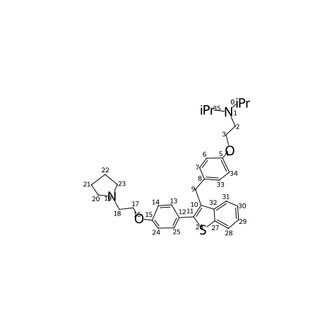 CC(C)N(CCOc1ccc(Cc2c(-c3ccc(OCCN4CCCC4)cc3)sc3ccccc23)cc1)C(C)C